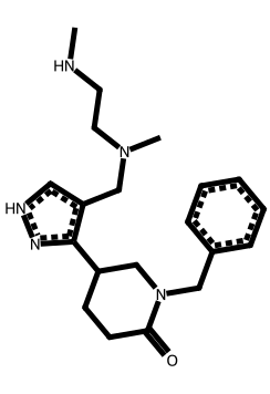 CNCCN(C)Cc1c[nH]nc1C1CCC(=O)N(Cc2ccccc2)C1